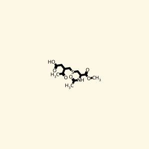 COC(=O)C(CSCC(CC(=O)O)C(C)=O)NC(C)=O